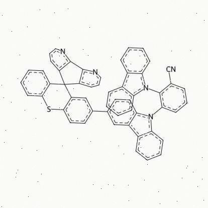 N#Cc1cccc(-n2c3ccccc3c3cc(-c4ccc5c(c4)C4(c6ccccc6S5)c5cccnc5-c5ncccc54)ccc32)c1-n1c2ccccc2c2ccccc21